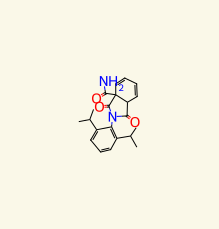 CC(C)c1cccc(C(C)C)c1N1C(=O)C2C=CC=CC2(C(N)=O)C1=O